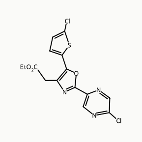 CCOC(=O)Cc1nc(-c2cnc(Cl)cn2)oc1-c1ccc(Cl)s1